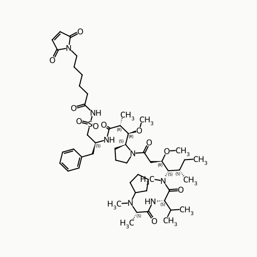 CC[C@H](C)[C@@H]([C@@H](CC(=O)N1CCC[C@H]1[C@H](OC)[C@@H](C)C(=O)N[C@@H](Cc1ccccc1)CS(=O)(=O)NC(=O)CCCCCN1C(=O)C=CC1=O)OC)N(C)C(=O)[C@@H](NC(=O)[C@H](C)N(C)C1CCCC1)C(C)C